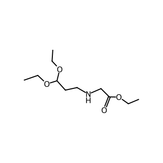 CCOC(=O)CNCCC(OCC)OCC